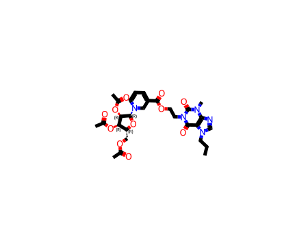 CCCn1cnc2c1c(=O)n(CCOC(=O)C1=CC=CN([C@@H]3O[C@H](COC(C)=O)[C@@H](OC(C)=O)[C@H]3OC(C)=O)C1)c(=O)n2C